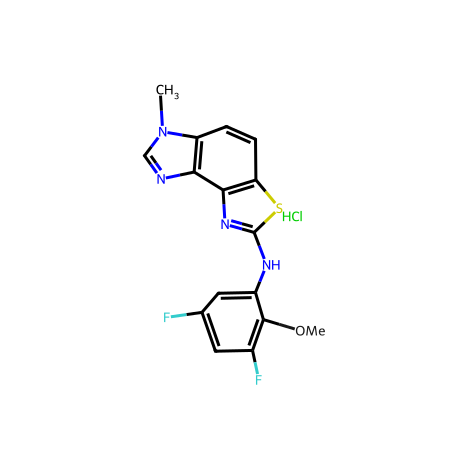 COc1c(F)cc(F)cc1Nc1nc2c(ccc3c2ncn3C)s1.Cl